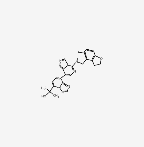 CC(C)(O)c1ccc(-c2cnc(NCc3c(F)ccc4c3CCO4)n3cnnc23)c2ncnn12